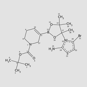 CC(C)(C)OC(=O)N1CCC=C(B2OC(C)(C)C(C)([n+]3c(Br)csc3N)O2)C1